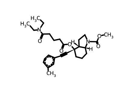 CCN(CC)C(=O)CCCC(=O)O[C@@]1(C#Cc2cccc(C)c2)CCC[C@@H]2[C@H]1CCN2C(=O)OC